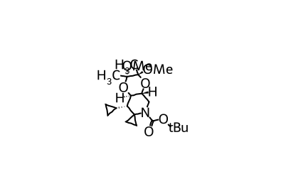 CO[C@@]1(C)O[C@@H]2[C@@H](C3CC3)C3(CC3)N(C(=O)OC(C)(C)C)C[C@H]2O[C@]1(C)OC